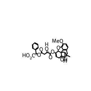 COc1ccc2c3c1OC1C(OC(=O)[C@@H](O)CC(=O)O[C@H](C(=O)O)c4ccccc4)=CC[C@@]4(O)[C@@H](C2)N(C)CCC314